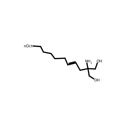 CCCCCCCCCCCCCC=CCC(N)(CO)CO